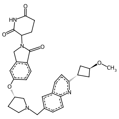 CO[C@H]1C[C@H](c2ccc3cc(CN4CC[C@H](Oc5ccc6c(c5)CN(C5CCC(=O)NC5=O)C6=O)C4)ccc3n2)C1